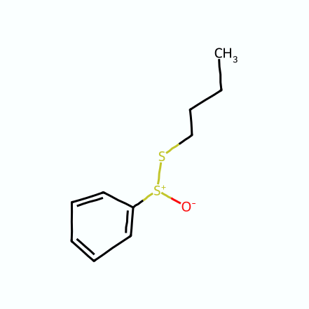 CCCCS[S+]([O-])c1ccccc1